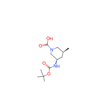 C[C@H]1C[C@@H](NC(=O)OC(C)(C)C)CN(C(=O)O)C1